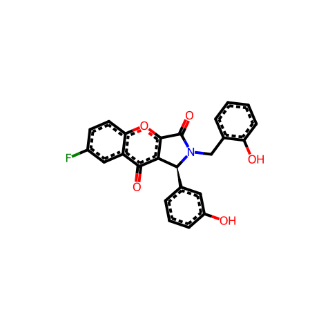 O=C1c2oc3ccc(F)cc3c(=O)c2[C@H](c2cccc(O)c2)N1Cc1ccccc1O